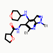 CCc1nc2c(cnn2CC)c(NC2CCOCC2)c1CNC(=O)C1CCCO1